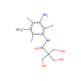 Nc1c(I)c(NC(=O)C(CO)(CO)CO)c(I)c(C(=O)O)c1I